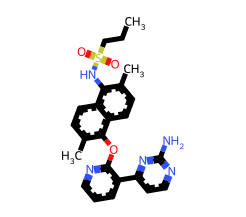 CCCS(=O)(=O)Nc1c(C)ccc2c(Oc3ncccc3-c3ccnc(N)n3)c(C)ccc12